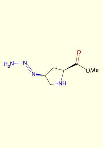 COC(=O)[C@@H]1C[C@H](N=NN)CN1